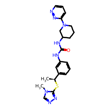 C[C@H](Sc1nncn1C)c1cccc(NC(=O)NC2CCCN(c3cccnn3)C2)c1